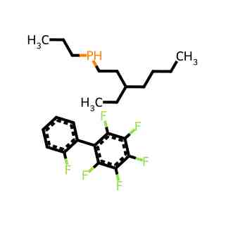 CCCCC(CC)CCPCCC.Fc1ccccc1-c1c(F)c(F)c(F)c(F)c1F